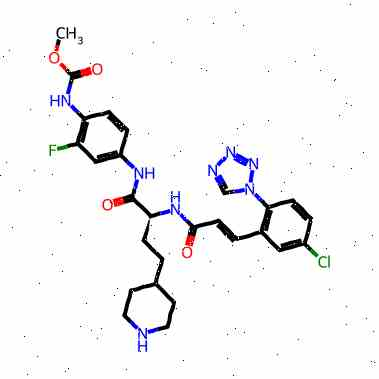 COC(=O)Nc1ccc(NC(=O)[C@H](CCC2CCNCC2)NC(=O)/C=C/c2cc(Cl)ccc2-n2cnnn2)cc1F